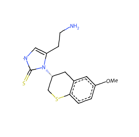 COc1ccc2c(c1)C[C@@H](N1C(=S)[N]C=C1CCN)CS2